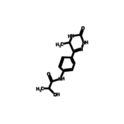 CC(O)C(=O)Nc1ccc(C2=NNC(=O)NC2C)cc1